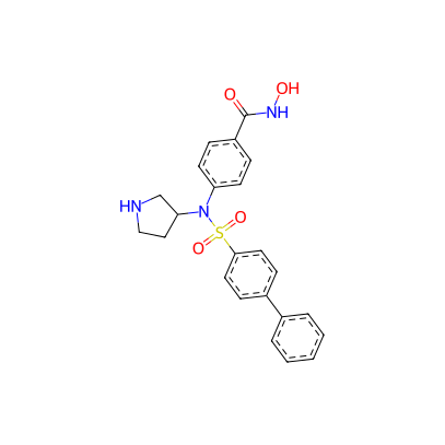 O=C(NO)c1ccc(N(C2CCNC2)S(=O)(=O)c2ccc(-c3ccccc3)cc2)cc1